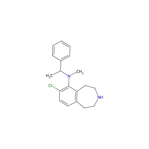 CC(c1ccccc1)N(C)c1c(Cl)ccc2c1CCNCC2